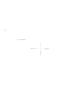 CC[N+](C)(CC)CCCOC